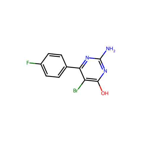 Nc1nc(O)c(Br)c(-c2ccc(F)cc2)n1